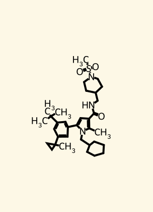 Cc1c(C(=O)NCC2CCN(S(C)(=O)=O)CC2)cc(-c2cc(C(C)(C)C)cc(C3(C)CC3)c2)n1CC1CCCCC1